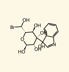 OC(Br)[C@H]1O[C@H](O)[C@@H](O)[C@](O)(C2(O)C=Nc3ccccc32)[C@@H]1O